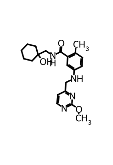 COc1nccc(CNc2ccc(C)c(C(=O)NCC3(O)CCCCC3)c2)n1